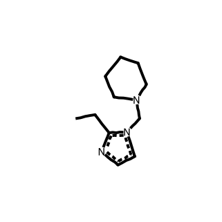 CCc1nccn1CN1CCCCC1